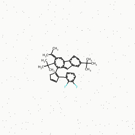 CC(C)=c1cc2c(c(C3=C(c4cccc(F)c4F)C=CC3)c1C(C)(C)C)=[C]c1cc(C(C)(C)C)ccc1-2